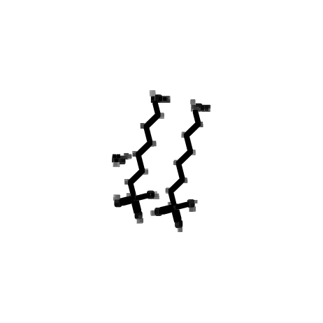 CCCCCCCCCCCCCCCCS(=O)(=O)[O-].CCCCCCCCCCCCCCCCS(=O)(=O)[O-].[Mg+2]